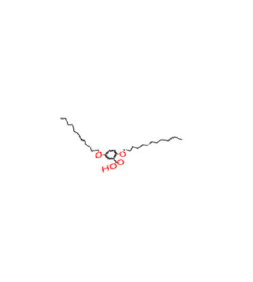 CCCCCCCCCCCCOc1ccc(OCCCCCCCCCCCC)c(C(=O)O)c1